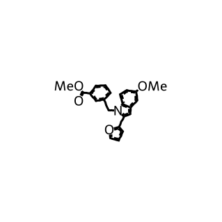 COC(=O)c1cccc(Cn2c(-c3ccco3)cc3cc(OC)ccc32)c1